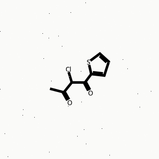 CC(=O)C(Cl)C(=O)c1cccs1